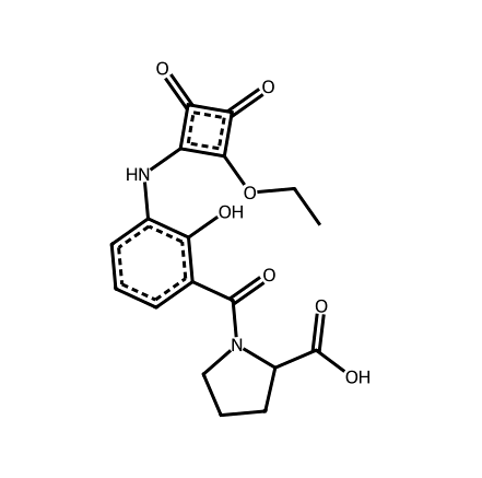 CCOc1c(Nc2cccc(C(=O)N3CCCC3C(=O)O)c2O)c(=O)c1=O